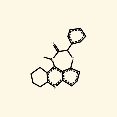 CN1C(=O)C(c2ccccc2)Oc2cccc3nc4c(c1c23)CCCC4